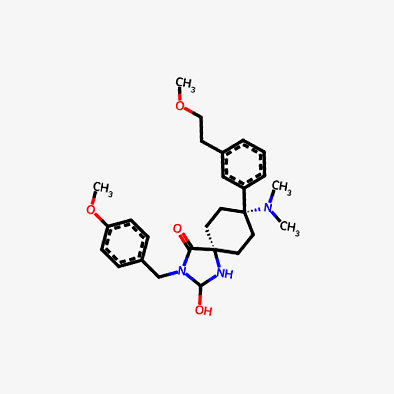 COCCc1cccc([C@]2(N(C)C)CC[C@]3(CC2)NC(O)N(Cc2ccc(OC)cc2)C3=O)c1